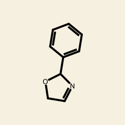 C1=NC(c2ccccc2)OC1